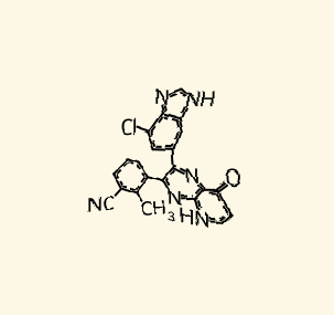 Cc1c(C#N)cccc1-c1nc2[nH]ccc(=O)c2nc1-c1cc(Cl)c2nc[nH]c2c1